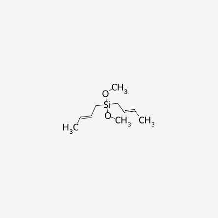 CC=CC[Si](CC=CC)(OC)OC